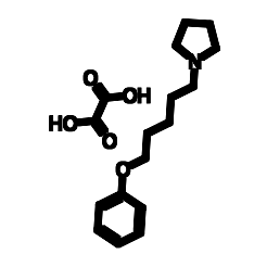 O=C(O)C(=O)O.c1ccc(OCCCCCN2CCCC2)cc1